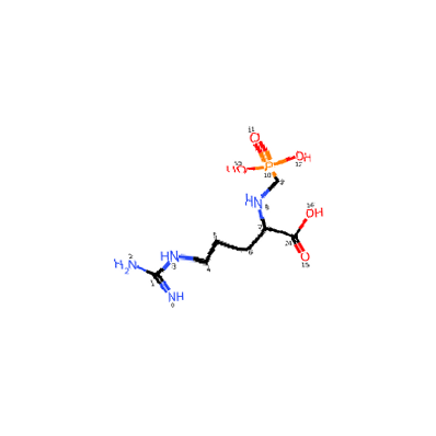 N=C(N)NCCCC(NCP(=O)(O)O)C(=O)O